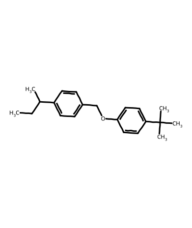 CCC(C)c1ccc(COc2ccc(C(C)(C)C)cc2)cc1